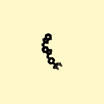 CN(C)C1CCN(Cc2coc3cc(Oc4nc5ncccc5s4)ccc23)CC1